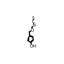 Oc1ccc(COCN=C=S)cc1